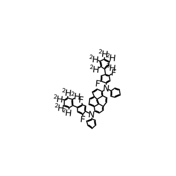 [2H]c1c([2H])c([2H])c(-c2cc(F)c(N(c3ccccc3)c3ccc4ccc5c(N(c6ccccc6)c6cc(F)c(-c7c([2H])c([2H])c([2H])c([2H])c7[2H])cc6F)ccc6ccc3c4c65)cc2F)c([2H])c1[2H]